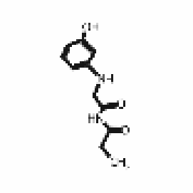 CCC(=O)NC(=O)CNc1cccc(O)c1